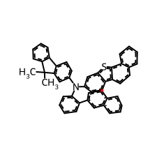 CC1(C)c2ccccc2-c2ccc(N(c3ccc4c(c3)sc3c5ccccc5ccc43)c3ccccc3-c3ccc4ccccc4c3)cc21